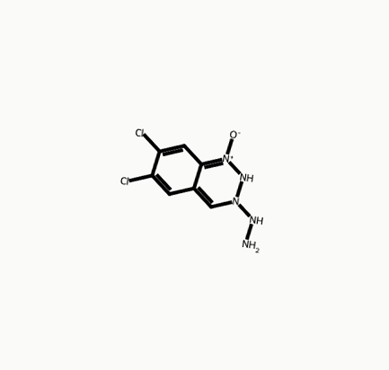 NNN1C=c2cc(Cl)c(Cl)cc2=[N+]([O-])N1